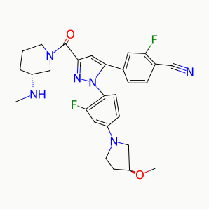 CN[C@@H]1CCCN(C(=O)c2cc(-c3ccc(C#N)c(F)c3)n(-c3ccc(N4CC[C@H](OC)C4)cc3F)n2)C1